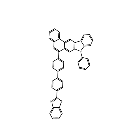 c1ccc(-n2c3ccccc3c3cc4c(cc32)c(-c2ccc(-c3ccc(-c5nc6ccccc6s5)cc3)cc2)nc2ccccc24)cc1